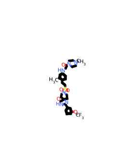 Cc1cc(NCC(=O)N2CCN(C)CC2)ccc1C=CS(=O)(=O)N1CCC2(CC1)N=C(c1cccc(OC(F)(F)F)c1)NC2=O